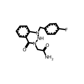 NC(=O)CN1NN(Cc2ccc(F)cc2)c2ccccc2C1=O